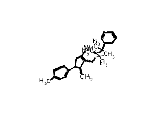 C=C1C(CS(C)(C)C(C)(C)c2ccccc2)=C(N)CC1c1ccc(C)cc1